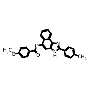 COc1ccc(C(=O)Oc2cc3[nH]c(-c4ccc(C)cc4)nc3c3ccccc23)cc1